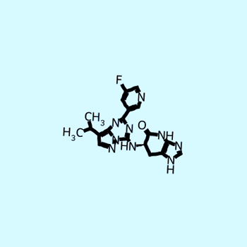 CC(C)c1cnn2c(N[C@@H]3Cc4[nH]cnc4NC3=O)nc(-c3cncc(F)c3)nc12